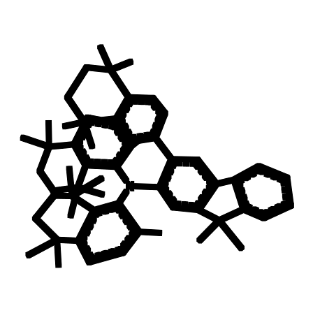 Cc1ccc2c(c1N(c1cc3c(cc1-c1ccc4c(c1)C(C)(C)CCC4(C)C)-c1ccccc1C3(C)C)c1c(C)ccc3c1C(C)(C)CCC3(C)C)C(C)(C)CCC2(C)C